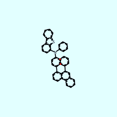 c1ccc(-c2cc3ccccc3c3cccc(-c4ccc(N(c5ccccc5)c5cccc6c5sc5ccccc56)cc4)c23)cc1